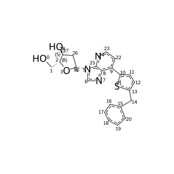 OC[C@H]1O[C@@H](n2cnc3c(-c4ccc(Cc5ccccc5)s4)ccnc32)C[C@@H]1O